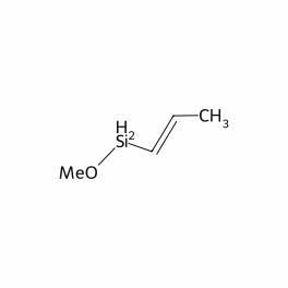 CC=C[SiH2]OC